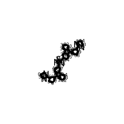 c1cnc(-c2cccc(-n3c4ccccc4c4cc(-c5nsc(-c6ccc7c(c6)c6ccccc6n7-c6cccc(-c7ncccn7)c6)n5)ccc43)c2)nc1